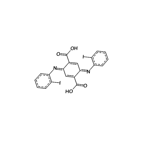 O=C(O)C1=CC(=Nc2ccccc2I)C(C(=O)O)=CC1=Nc1ccccc1I